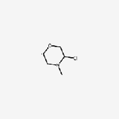 CN1C[CH]OCC1Cl